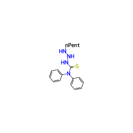 CCCCCNNNC(=S)N(c1ccccc1)c1ccccc1